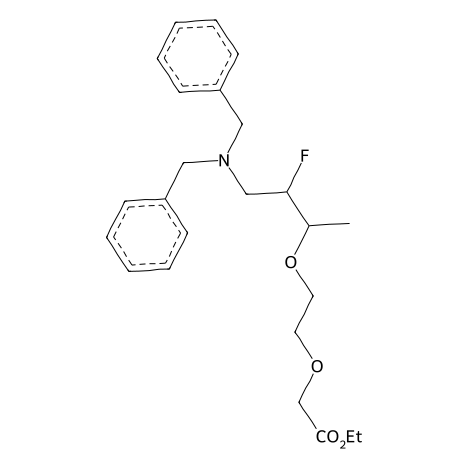 CCOC(=O)COCCOC(C)C(F)CN(Cc1ccccc1)Cc1ccccc1